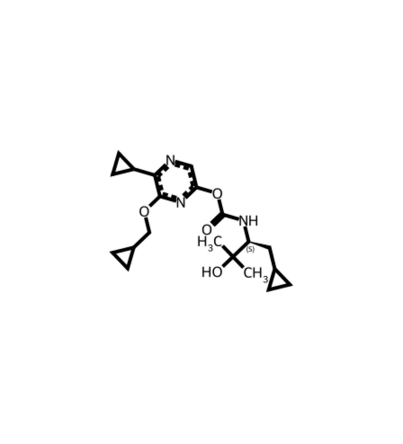 CC(C)(O)[C@H](CC1CC1)NC(=O)Oc1cnc(C2CC2)c(OCC2CC2)n1